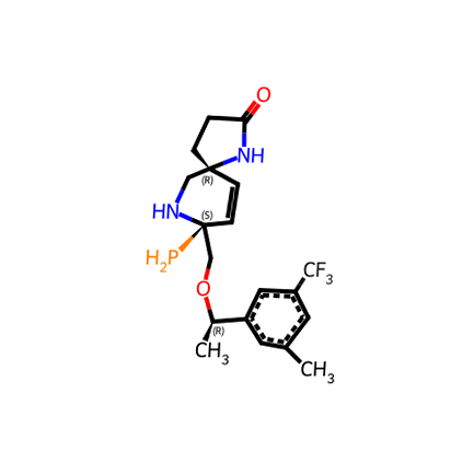 Cc1cc([C@@H](C)OC[C@@]2(P)C=C[C@]3(CCC(=O)N3)CN2)cc(C(F)(F)F)c1